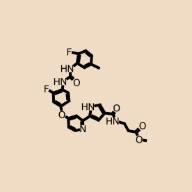 COC(=O)CCNC(=O)c1c[nH]c(-c2cc(Oc3ccc(NC(=O)Nc4cc(C)ccc4F)c(F)c3)ccn2)c1